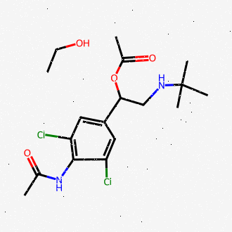 CC(=O)Nc1c(Cl)cc(C(CNC(C)(C)C)OC(C)=O)cc1Cl.CCO